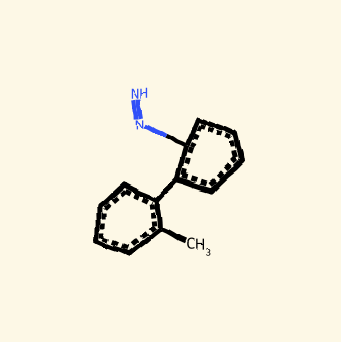 Cc1ccccc1-c1ccccc1N=N